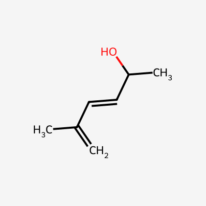 C=C(C)/C=C/C(C)O